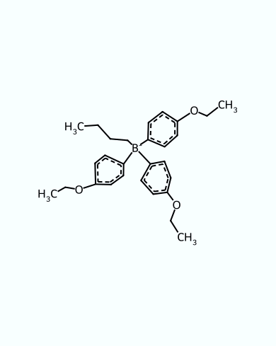 CCCC[B-](c1ccc(OCC)cc1)(c1ccc(OCC)cc1)c1ccc(OCC)cc1